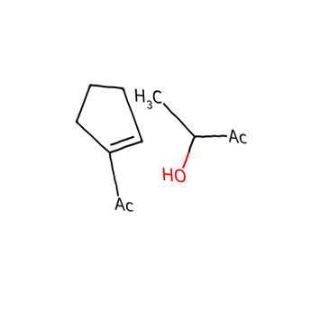 CC(=O)C(C)O.CC(=O)C1=CCCC1